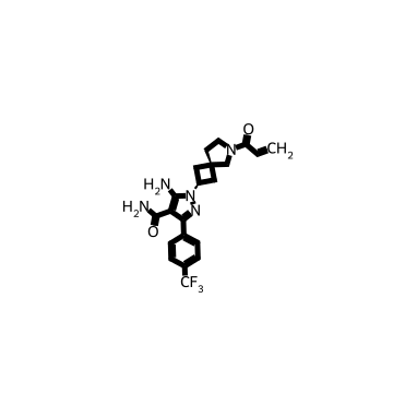 C=CC(=O)N1CC[C@]2(C1)C[C@@H](n1nc(-c3ccc(C(F)(F)F)cc3)c(C(N)=O)c1N)C2